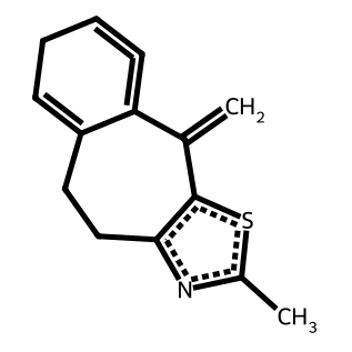 C=C1C2=C=CCC=C2CCc2nc(C)sc21